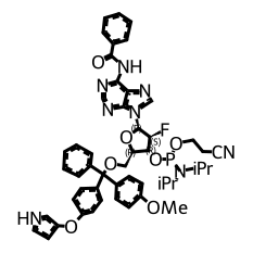 COc1ccc(C(OC[C@H]2O[C@@H](n3cnc4c(NC(=O)c5ccccc5)ncnc43)[C@@H](F)[C@@H]2OP(OCCC#N)N(C(C)C)C(C)C)(c2ccccc2)c2ccc(Oc3cc[nH]c3)cc2)cc1